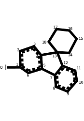 Ic1ccc2c(c1)-c1ccccc1C21CCCCC1